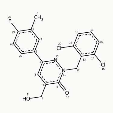 Cc1cc(-c2cc(CO)c(=O)n(Cc3c(Cl)cccc3Cl)n2)ccc1F